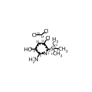 C[Si](C)(C)c1nc(N)c(O)cc1Cl.ClCCl